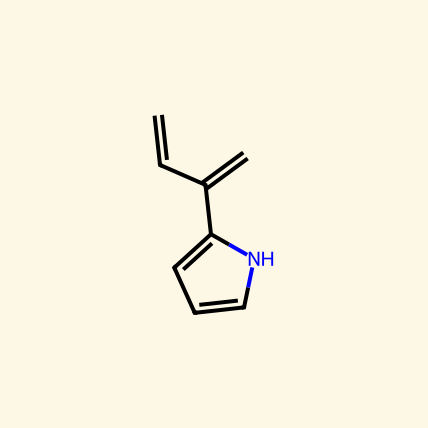 C=CC(=C)c1ccc[nH]1